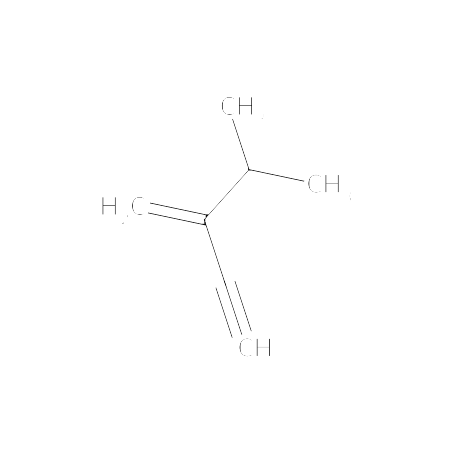 C#CC(=C)C(C)C